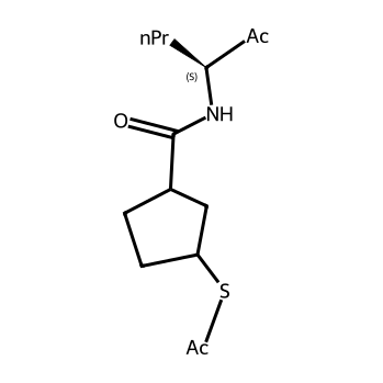 CCC[C@H](NC(=O)C1CCC(SC(C)=O)C1)C(C)=O